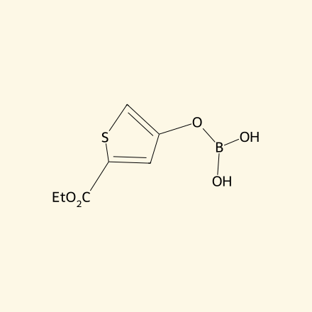 CCOC(=O)c1cc(OB(O)O)cs1